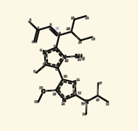 C=C(C)/C=C(\c1nc(C)c(-c2sc(N(C)C(C)C)nc2OC)n1N)C(CC)CC